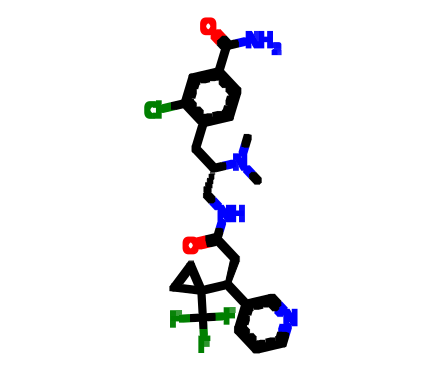 CN(C)[C@H](CNC(=O)C[C@@H](c1cccnc1)C1(C(F)(F)F)CC1)Cc1ccc(C(N)=O)cc1Cl